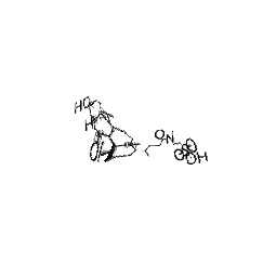 CC(CCC(=O)N(C)CCS(=O)(=O)O)C1CCC2C3C(CC[C@]12C)[C@@]1(C)CC[C@@H](O)C[C@H]1C[C@@H]3O